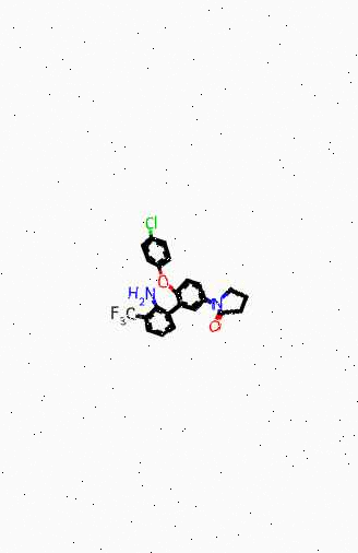 Nc1c(-c2cc(N3CCCC3=O)ccc2Oc2ccc(Cl)cc2)cccc1C(F)(F)F